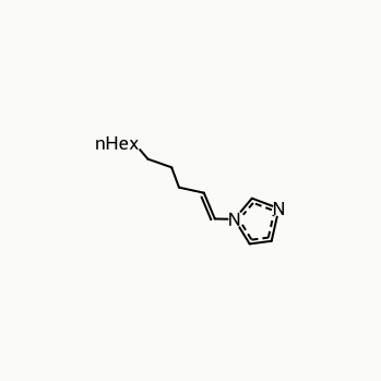 CCCCCCCCCC=Cn1ccnc1